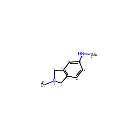 CCN1Cc2ccc(NC(C)(C)C)cc2C1